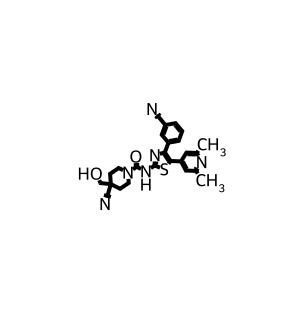 Cc1cc(-c2sc(NC(=O)N3CCC(C#N)(CO)CC3)nc2-c2cccc(C#N)c2)cc(C)n1